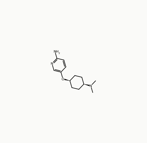 CN(C)[C@H]1CC[C@@H](Oc2ccc(N)nc2)CC1